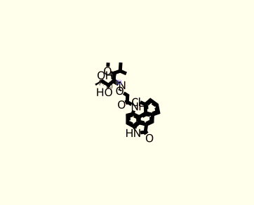 CO[C@H](/C(=N/OCC(=O)Nc1ccc2c3c(cc4cccc(Cl)c4c13)C(=O)N2)[C@@H](O)[C@@H](C)O)C(C)C